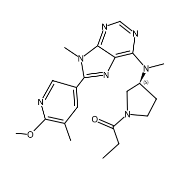 CCC(=O)N1CC[C@H](N(C)c2ncnc3c2nc(-c2cnc(OC)c(C)c2)n3C)C1